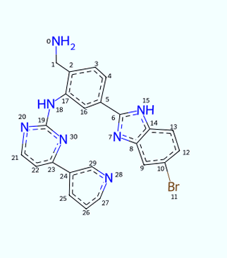 NCc1ccc(-c2nc3cc(Br)ccc3[nH]2)cc1Nc1nccc(-c2cccnc2)n1